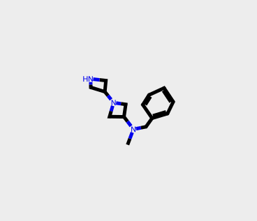 CN(Cc1ccccc1)C1CN(C2CNC2)C1